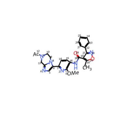 COc1nc(-c2cnc3n2CCN(C(C)=O)C3)ccc1NC(=O)c1c(-c2ccccc2)noc1C